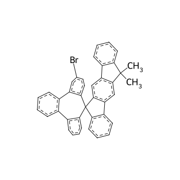 CC1(C)c2ccccc2-c2cc3c(cc21)-c1ccccc1C31c2ccccc2-c2ccccc2-c2cc(Br)ccc21